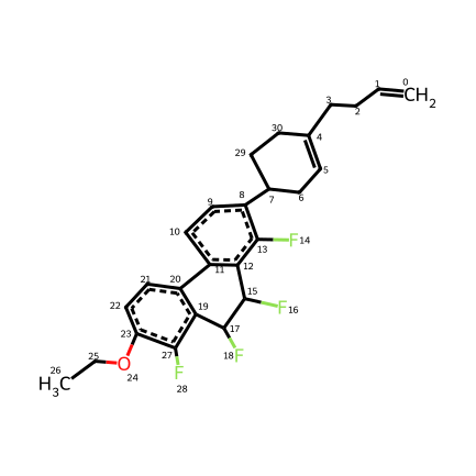 C=CCCC1=CCC(c2ccc3c(c2F)C(F)C(F)c2c-3ccc(OCC)c2F)CC1